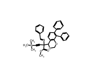 COC(=O)C(C#C[Si](C)(C)C)(N=Cc1ccccc1)C1OCOc2c1ccc(-c1ccccc1)c2-c1ccccc1